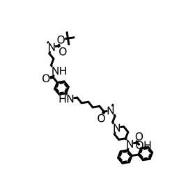 CN(CCN1CCC(N(C(=O)O)c2ccccc2-c2ccccc2)CC1)C(=O)CCCCCNc1ccc(C(=O)NCCCN(C)C(=O)OC(C)(C)C)cc1